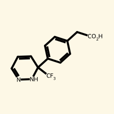 O=C(O)Cc1ccc(C2(C(F)(F)F)C=CC=NN2)cc1